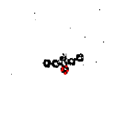 C1=C[N+](C(c2ccccc2)c2ccc(-c3ccccc3)cc2)(C(c2ccccc2)c2ccc(-c3ccccc3)cc2)C=N1